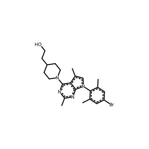 Cc1nc(N2CCC(CCO)CC2)c2c(C)cn(-c3c(C)cc(Br)cc3C)c2n1